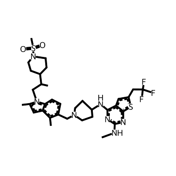 CNc1nc(NC2CCN(Cc3ccc4c(cc(C)n4CC(C)C4CCN(S(C)(=O)=O)CC4)c3C)CC2)c2cc(CC(F)(F)F)sc2n1